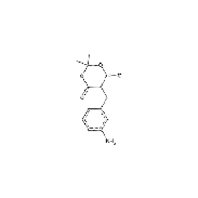 CC1(C)OC(=O)C(Cc2cccc(N)c2)C(=O)O1